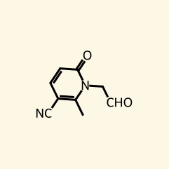 Cc1c(C#N)ccc(=O)n1CC=O